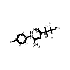 Cc1ccc(N/C(N)=C\C(=N)C(C)(C)C(F)(F)F)cc1